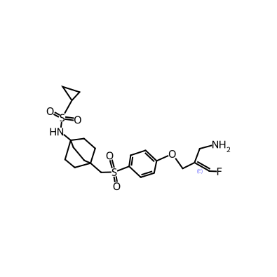 NC/C(=C\F)COc1ccc(S(=O)(=O)CC23CCC(NS(=O)(=O)C4CC4)(CC2)CC3)cc1